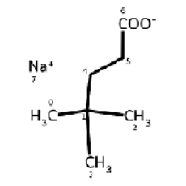 CC(C)(C)CCC(=O)[O-].[Na+]